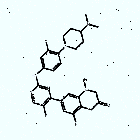 CC(C)N1CC(=O)Cc2c(F)cc(-c3nc(Nc4ccc(N5CCC(N(C)C)CC5)c(F)c4)ncc3F)cc21